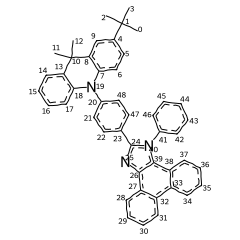 CC(C)(C)c1ccc2c(c1)C(C)(C)c1ccccc1N2c1ccc(-c2nc3c4ccccc4c4ccccc4c3n2-c2ccccc2)cc1